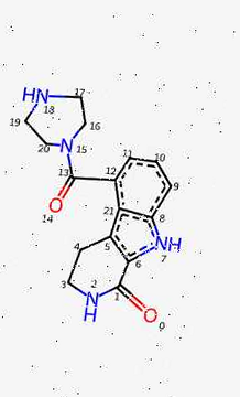 O=C1NCCc2c1[nH]c1cccc(C(=O)N3CCNCC3)c21